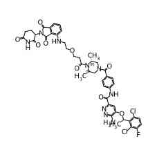 CC(Oc1cc(C(=O)Nc2ccc(C(=O)N3C[C@@H](C)N(C(=O)CCOCCNc4cccc5c4C(=O)N(C4CCC(=O)NC4=O)C5=O)[C@@H](C)C3)cc2)nnc1N)c1c(Cl)ccc(F)c1Cl